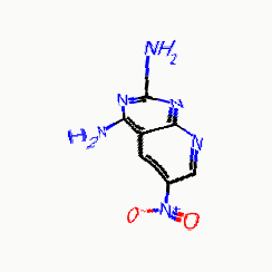 Nc1nc(N)c2cc([N+](=O)[O-])cnc2n1